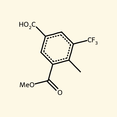 COC(=O)c1cc(C(=O)O)cc(C(F)(F)F)c1C